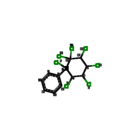 ClC1C(Cl)C(Cl)[Si](Cl)(c2ccccc2)C(Cl)(Cl)C1Cl